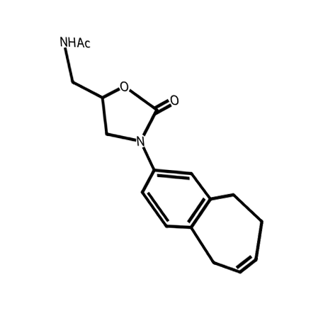 CC(=O)NCC1CN(c2ccc3c(c2)CCC=CC3)C(=O)O1